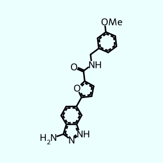 COc1cccc(CNC(=O)c2ccc(-c3ccc4c(N)n[nH]c4c3)o2)c1